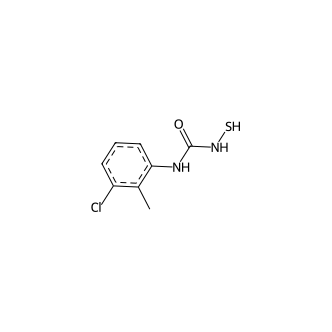 Cc1c(Cl)cccc1NC(=O)NS